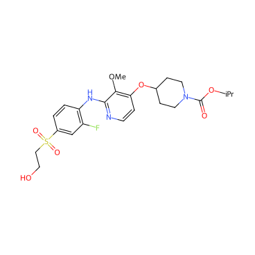 COc1c(OC2CCN(C(=O)OC(C)C)CC2)ccnc1Nc1ccc(S(=O)(=O)CCO)cc1F